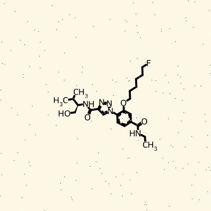 CCNC(=O)c1ccc(-n2cc(C(=O)N[C@@H](CO)C(C)C)nn2)c(OCCCCCCF)c1